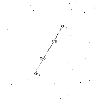 CCCCCCCCCCCC(=O)OCCCCCCCCCCCCOC(=O)CCCCCCCCCCC